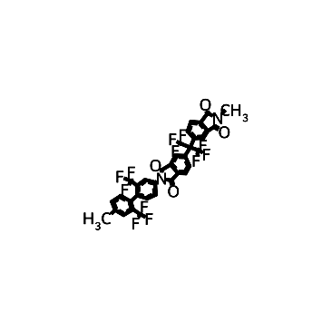 Cc1ccc(-c2ccc(N3C(=O)c4ccc(C(c5ccc6c(c5)C(=O)N(C)C6=O)(C(F)(F)F)C(F)(F)F)cc4C3=O)cc2C(F)(F)F)c(C(F)(F)F)c1